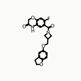 O=C1COc2cc(F)c(C(=O)N3CC(COc4ccc5c(c4)CCO5)C3)cc2N1